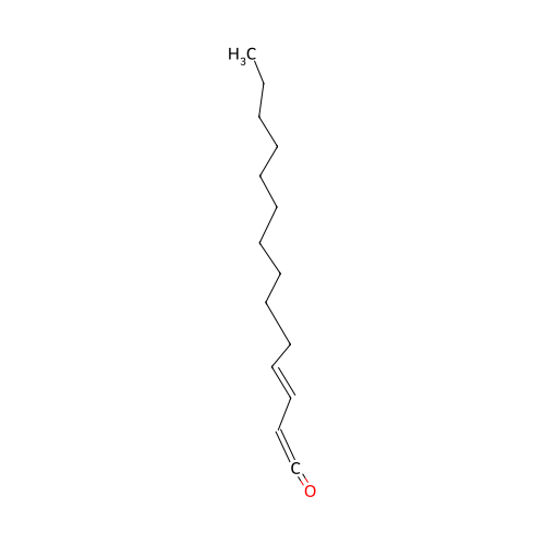 CCCCCCCCCCC=CC=C=O